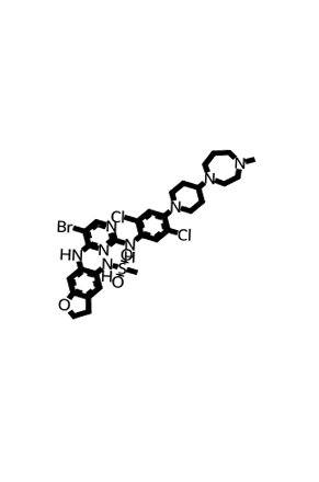 CN1CCCN(C2CCN(c3cc(Cl)c(Nc4ncc(Br)c(Nc5cc6c(cc5NS(C)(=O)=O)CCO6)n4)cc3Cl)CC2)CC1